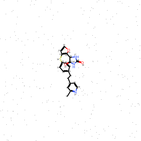 Cc1cc(CCc2ccc(Sc3ccoc3C3NC(=O)NC3=O)cc2)ccn1